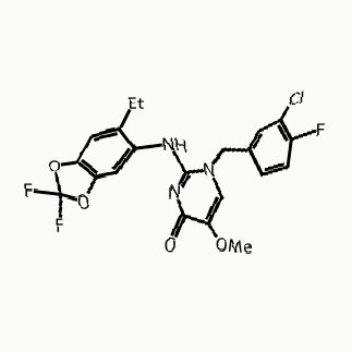 CCc1cc2c(cc1Nc1nc(=O)c(OC)cn1Cc1ccc(F)c(Cl)c1)OC(F)(F)O2